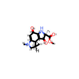 COC(=O)[C@]1(C)NC2=C(C1=O)[C@@]13C[C@@H]1CN(C)C3=CC2=O